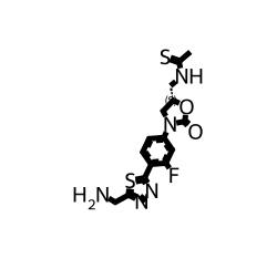 CC(=S)NC[C@H]1CN(c2ccc(-c3nnc(CN)s3)c(F)c2)C(=O)O1